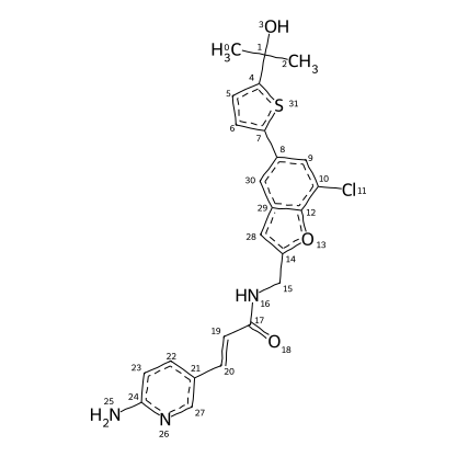 CC(C)(O)c1ccc(-c2cc(Cl)c3oc(CNC(=O)C=Cc4ccc(N)nc4)cc3c2)s1